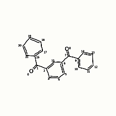 O=C(c1[c]ccc(C(=O)c2ccccc2)c1)c1ccccc1